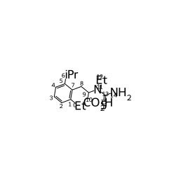 CCc1cccc(C(C)C)c1CC(C(=O)O)N(CC)C(N)=S